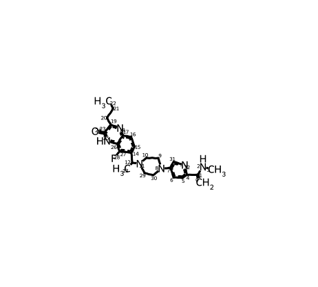 C=C(NC)c1ccc(N2CCN(C(C)c3ccc4nc(CCC)c(=O)[nH]c4c3F)CC2)cn1